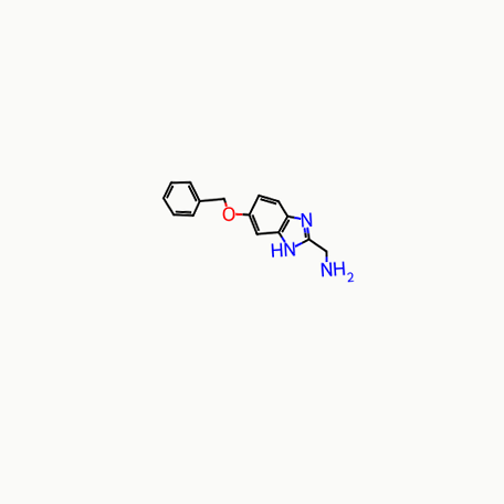 NCc1nc2ccc(OCc3ccccc3)cc2[nH]1